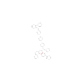 c1ccc(N(c2ccc(-c3ccc(-c4ccc(-n5c6ccccc6c6ccccc65)cc4)cc3)cc2)c2ccc3c(ccc4ccccc43)c2)c(-c2cccc3oc4ccccc4c23)c1